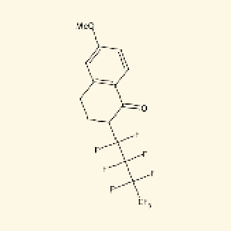 COc1ccc2c(c1)CCC(C(F)(F)C(F)(F)C(F)(F)C(F)(F)F)C2=O